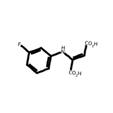 O=C(O)/C=C(\Nc1cccc(F)c1)C(=O)O